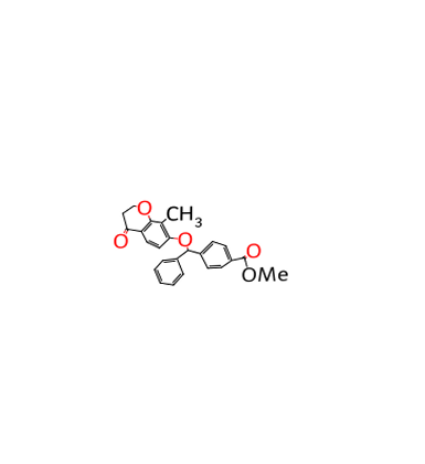 COC(=O)c1ccc(C(Oc2ccc3c(c2C)OCCC3=O)c2ccccc2)cc1